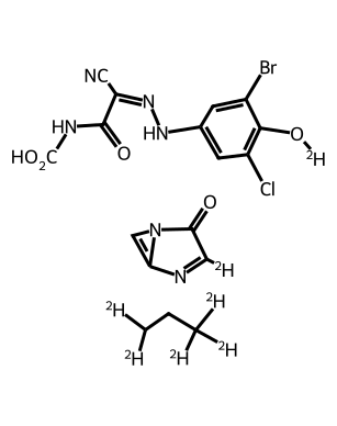 [2H]C([2H])CC([2H])([2H])[2H].[2H]Oc1c(Cl)cc(NN=C(C#N)C(=O)NC(=O)O)cc1Br.[2H]c1nc2cn-2c1=O